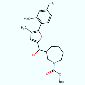 COc1cc(C)ccc1-c1oc(C(O)C2CCCCN(C(=O)OC(C)(C)C)C2)cc1C